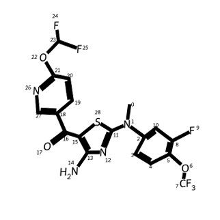 CN(c1ccc(OC(F)(F)F)c(F)c1)c1nc(N)c(C(=O)c2ccc(OC(F)F)nc2)s1